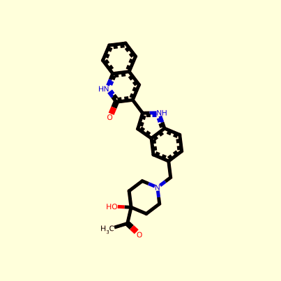 CC(=O)C1(O)CCN(Cc2ccc3[nH]c(-c4cc5ccccc5[nH]c4=O)cc3c2)CC1